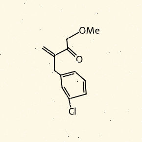 C=C(Cc1cccc(Cl)c1)C(=O)COC